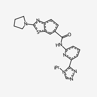 CC(C)n1cnnc1-c1cccc(NC(=O)c2ccc3nc(N4CCCC4)sc3c2)n1